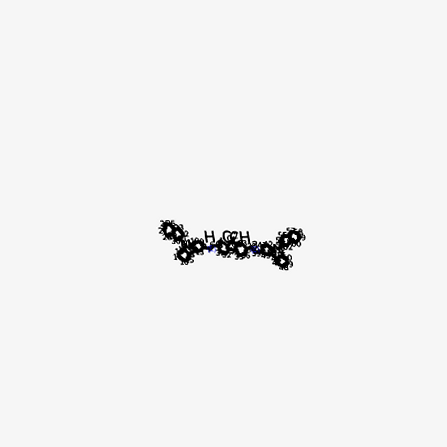 CC1(C)c2cc(/C=C/c3ccc4c(c3)c3ccccc3n4-c3ccc4ccccc4c3)ccc2-c2ccc(/C=C/c3ccc4c(c3)c3ccccc3n4-c3ccc4ccccc4c3)cc21